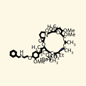 CCC1/C=C(\C)CC(C)CC(OC)C2OC(O)(C(=O)C(=O)N3CCCCC3C(=O)OC(C(C)=CC3CCC(OCCNCc4ccccc4)C(OC)C3)C(C)C(O[Si](C)(C)C(C)(C)C)CC1=O)C(C)CC2OC